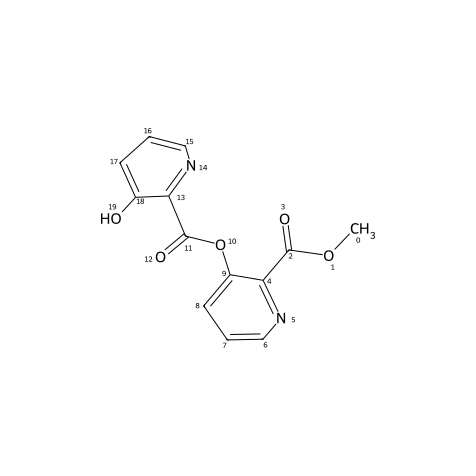 COC(=O)c1ncccc1OC(=O)c1ncccc1O